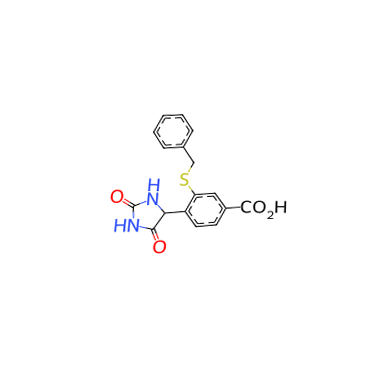 O=C1NC(=O)C(c2ccc(C(=O)O)cc2SCc2ccccc2)N1